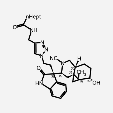 CCCCCCCC(=O)NCc1cn(CC[C@]2([C@@H]3C[C@]45C[C@@]4(C)[C@@H](O)CC[C@H]5CN3C#N)C(=O)Nc3ccccc32)nn1